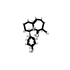 O=C1C(I)CCC=C2CCC[C@H](c3ccc(F)cc3)N12